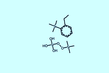 CCc1ccccc1[Si](C)(C)C.C[Si](C)(C)OO[Si](O)(O)O